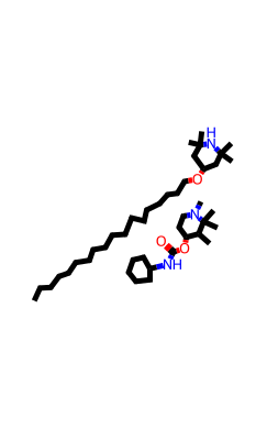 CC1C(OC(=O)NC2CCCCC2)CCN(C)C1(C)C.CCCCCCCCCCCCCCCCCCOC1CC(C)(C)NC(C)(C)C1